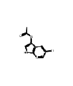 CC(=O)Oc1c[nH]c2ncc(Cl)cc12